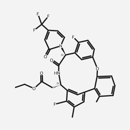 CCOC(=O)C[C@@H]1NC(=O)[C@@H](n2ccc(C(F)(F)F)cc2=O)c2cc(ccc2F)Oc2cccc(C)c2-c2cc(C)c(F)c1c2